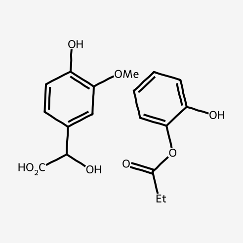 CCC(=O)Oc1ccccc1O.COc1cc(C(O)C(=O)O)ccc1O